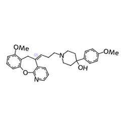 COc1ccc(C2(O)CCN(CC/C=C3/Cc4c(OC)cccc4Oc4ncccc43)CC2)cc1